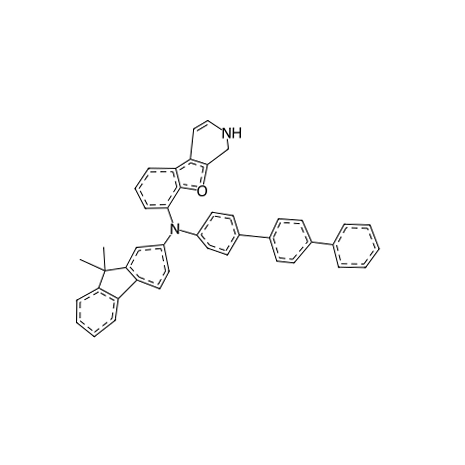 CC1(C)c2ccccc2-c2ccc(N(c3ccc(-c4ccc(-c5ccccc5)cc4)cc3)c3cccc4c5c(oc34)CNC=C5)cc21